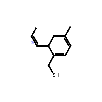 CC1=CC=C(CS)C(/C=C\I)C1